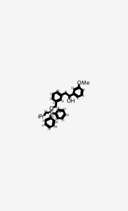 COc1cccc(C(O)Cc2cccc(CO[Si](CC(C)C)(c3ccccc3)c3ccccc3)c2)c1